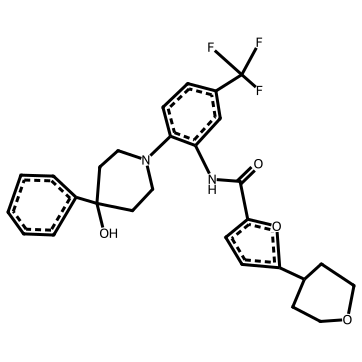 O=C(Nc1cc(C(F)(F)F)ccc1N1CCC(O)(c2ccccc2)CC1)c1ccc(C2CCOCC2)o1